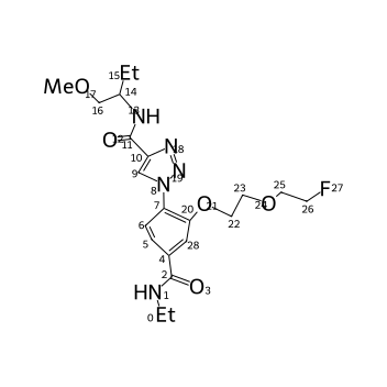 CCNC(=O)c1ccc(-n2cc(C(=O)NC(CC)COC)nn2)c(OCCOCCF)c1